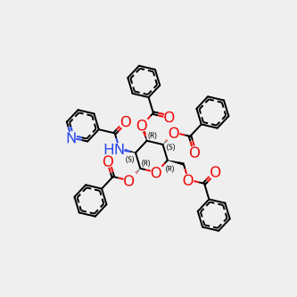 O=C(N[C@@H]1[C@@H](OC(=O)c2ccccc2)O[C@H](COC(=O)c2ccccc2)[C@@H](OC(=O)c2ccccc2)[C@@H]1OC(=O)c1ccccc1)c1cccnc1